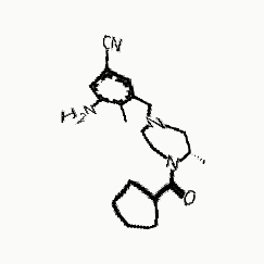 Cc1c(N)cc(C#N)cc1CN1CCN(C(=O)C2CCCC2)[C@@H](C)C1